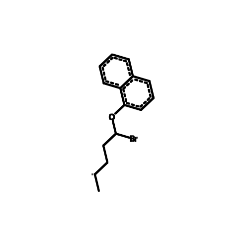 C[CH]CCC(Br)Oc1cccc2ccccc12